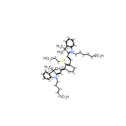 CC1(C)C(/C=C/C2=C(SCCC(=O)O)C(=C/C=C3/N(CCCCS(=O)(=O)O)c4ccccc4C3(C)C)/CCC2)=[N+](CCCCCS(=O)(=O)O)c2ccccc21